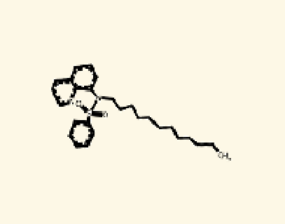 CCCCCCCCCCCCN(c1cccc2cccnc12)S(=O)(=O)c1ccccc1